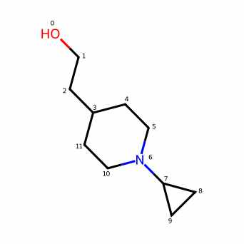 OCCC1CCN(C2CC2)CC1